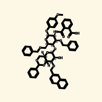 COc1ccc(O[C@@H]2O[C@H](COCc3ccccc3)[C@@H](O[C@@H]3O[C@@H]4COC(c5ccccc5)O[C@H]4[C@H](OCc4ccc5ccccc5c4)[C@@H]3O)[C@H](OCc3ccccc3)[C@H]2NC(=O)c2ccccc2C(=O)O)cc1